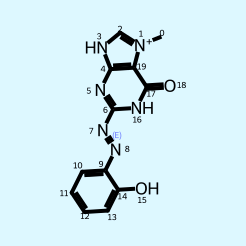 C[n+]1c[nH]c2nc(/N=N/c3ccccc3O)[nH]c(=O)c21